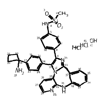 CS(=O)(=O)Nc1ccc(-c2nc3n(c2-c2ccc(C4(N)CCC4)cc2)-c2cccnc2Nc2ccccc2-3)cc1.Cl.Cl.Cl